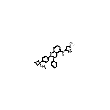 Cc1cc(Nc2nccc3nc(-c4ccc(C5(N)CCC5)cc4)c(-c4ccccc4)cc23)[nH]n1